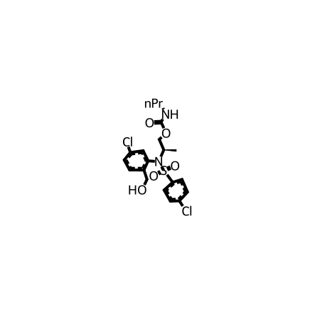 CCCNC(=O)OC[C@@H](C)N(c1cc(Cl)ccc1CO)S(=O)(=O)c1ccc(Cl)cc1